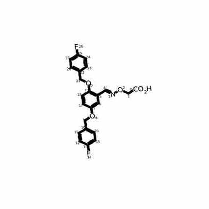 O=C(O)CON=Cc1cc(OCc2ccc(F)cc2)ccc1OCc1ccc(F)cc1